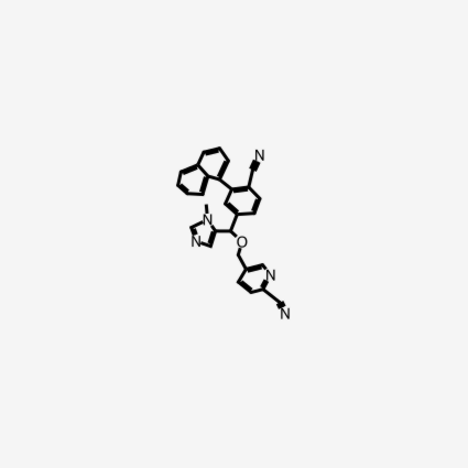 Cn1cncc1C(OCc1ccc(C#N)nc1)c1ccc(C#N)c(-c2cccc3ccccc23)c1